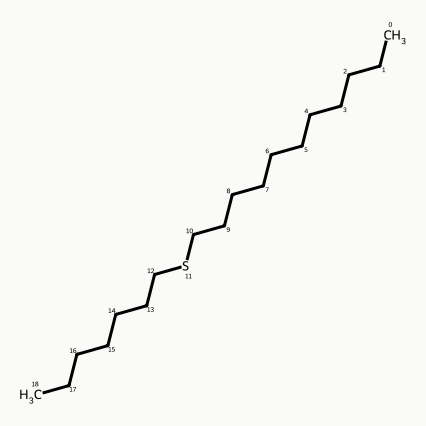 CCCCCCCCCCCSCCCCCCC